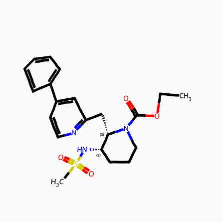 CCOC(=O)N1CCC[C@H](NS(C)(=O)=O)[C@@H]1Cc1cc(-c2ccccc2)ccn1